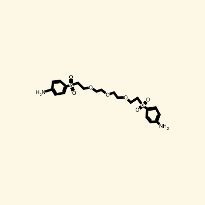 Nc1ccc(S(=O)(=O)CCOCCOCCOCCS(=O)(=O)c2ccc(N)cc2)cc1